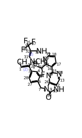 C/C=C(/c1ccc(Cn2c(=O)[nH]c3cnc(-c4cccnc4C(F)F)nc32)cc1)N(C)/C=C(\N)C(F)(F)F